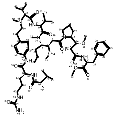 CC[C@H](C)[C@@H]([C@@H](CC(=O)N1CCC[C@H]1[C@H](OC)[C@@H](C)C(=O)N[C@@H](Cc1ccccc1)C(=O)OC)OC)N(C)C(=O)[C@@H](NC(=O)[C@H](C(C)C)N(C)CCc1ccc(NC(=O)[C@H](CCCNC(N)=O)NC(=O)[C@@H](C)C(C)C)cc1)C(C)C